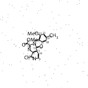 COC(=O)c1nc2c(Cl)nccc2c(=O)n1Cc1ccc(C)cc1OC